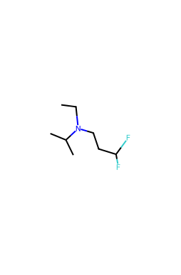 CCN(CCC(F)F)C(C)C